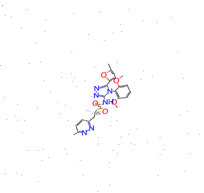 COc1cccc(OC)c1-n1c(NS(=O)(=O)[C@@H](C)Cc2ccc(C)nn2)nnc1-c1ccc(C)o1